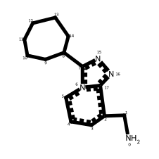 NCc1cccn2c(C3CCCCCC3)nnc12